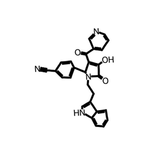 N#Cc1ccc(C2C(C(=O)c3cccnc3)=C(O)C(=O)N2CCc2c[nH]c3ccccc23)cc1